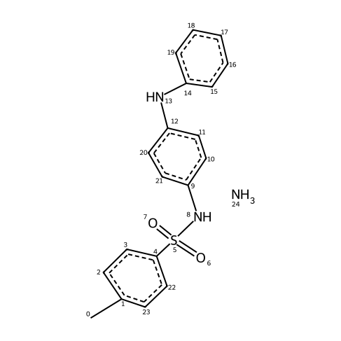 Cc1ccc(S(=O)(=O)Nc2ccc(Nc3ccccc3)cc2)cc1.N